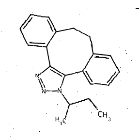 CCC(C)n1nnc2c1-c1ccccc1CCc1ccccc1-2